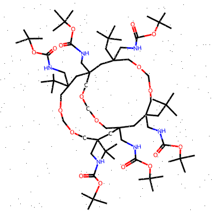 CC(C)(C)CC1(CNC(=O)OC(C)(C)C)COCOCC(CNC(=O)OC(C)(C)C)(CC(C)(C)C)CC2(CNC(=O)OC(C)(C)C)COCOCC(CNC(=O)OC(C)(C)C)(C1)CC(CNC(=O)OC(C)(C)C)(C(C)(C)C)COCOCC(CNC(=O)OC(C)(C)C)(C(C)(C)C)C2